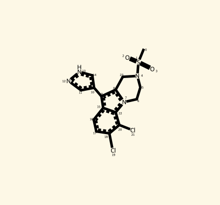 CS(=O)(=O)N1CCn2c(c(-c3cn[nH]c3)c3ccc(Cl)c(Cl)c32)C1